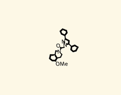 COc1cccc2c1CCN(C(=O)Cn1nc(-c3ccccc3)cc1-c1ccccc1)C2